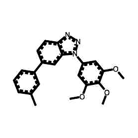 COc1cc(-n2nnc3ccc(-c4cccc(C)c4)cc32)cc(OC)c1OC